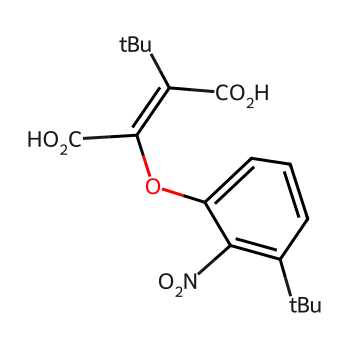 CC(C)(C)C(C(=O)O)=C(Oc1cccc(C(C)(C)C)c1[N+](=O)[O-])C(=O)O